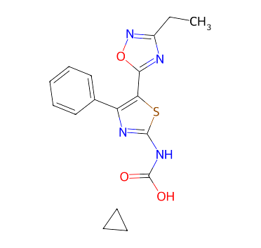 C1CC1.CCc1noc(-c2sc(NC(=O)O)nc2-c2ccccc2)n1